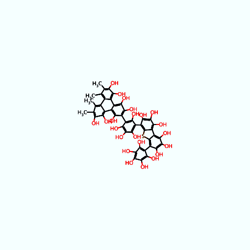 Cc1c(O)c(O)c2c(c1C)c1c(C)c(C)c(O)c(O)c1c1c(O)c(-c3c(O)c(O)c(O)c(-c4c(O)c(O)c(O)c5c4sc4c(-c6c(O)c(O)c(O)c(O)c6O)c(O)c(O)c(O)c45)c3O)c(O)c(O)c21